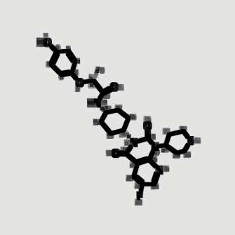 C[C@@H](Oc1ccc(O)cc1)C(=O)N[C@H]1CC[C@@H](n2c(=O)c3cc(F)cnc3n(C3CCSCC3)c2=O)CC1